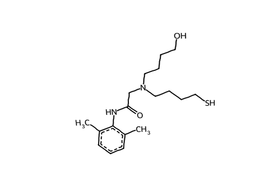 Cc1cccc(C)c1NC(=O)CN(CCCCO)CCCCS